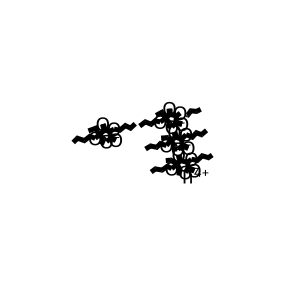 CCCCOC(C(=O)[O-])C(=O)C(CC)(CC)OCCCC.CCCCOC(C(=O)[O-])C(=O)C(CC)(CC)OCCCC.CCCCOC(C(=O)[O-])C(=O)C(CC)(CC)OCCCC.CCCCOC(C(=O)[O-])C(=O)C(CC)(CC)OCCCC.[Ti+4]